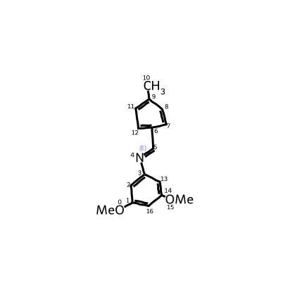 COc1cc(/N=C/c2ccc(C)cc2)cc(OC)c1